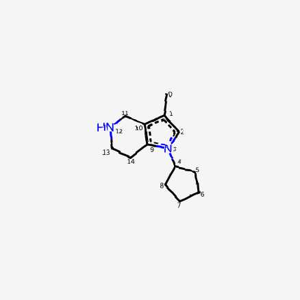 Cc1cn(C2CCCC2)c2c1CNCC2